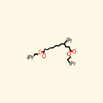 CC(C)CCOC(=O)CCCCCCCC(CCC(=O)OCCC(C)C)C(C)C